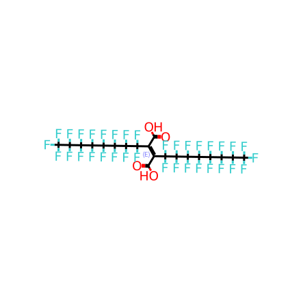 O=C(O)/C(=C(/C(=O)O)C(F)(F)C(F)(F)C(F)(F)C(F)(F)C(F)(F)C(F)(F)C(F)(F)C(F)(F)F)C(F)(F)C(F)(F)C(F)(F)C(F)(F)C(F)(F)C(F)(F)C(F)(F)C(F)(F)F